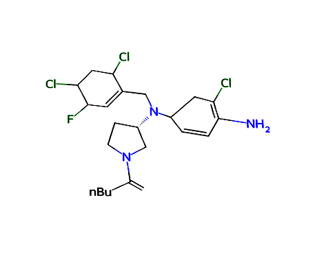 C=C(CCCC)N1CC[C@H](N(CC2=CC(F)C(Cl)CC2Cl)C2C=CC(N)=C(Cl)C2)C1